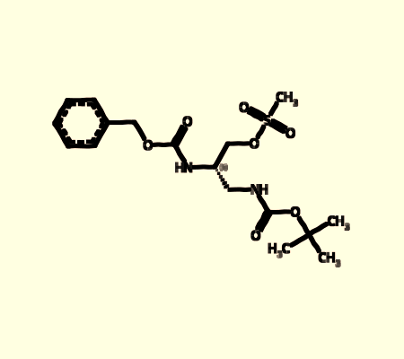 CC(C)(C)OC(=O)NC[C@@H](COS(C)(=O)=O)NC(=O)OCc1ccccc1